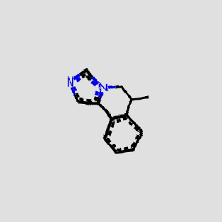 CC1Cn2cncc2-c2ccccc21